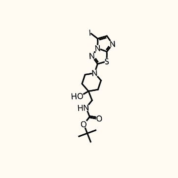 CC(C)(C)OC(=O)NCC1(O)CCN(c2nn3c(I)cnc3s2)CC1